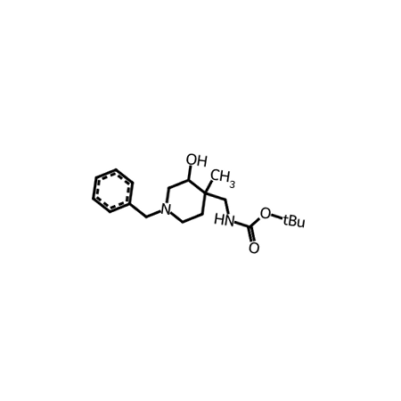 CC(C)(C)OC(=O)NCC1(C)CCN(Cc2ccccc2)CC1O